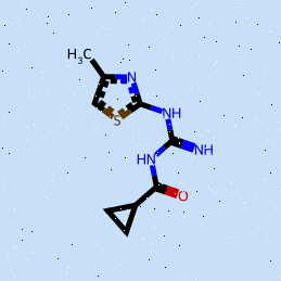 Cc1csc(NC(=N)NC(=O)C2CC2)n1